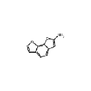 Nc1cc2ccc3ccoc3c2o1